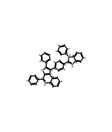 c1ccc(-c2sc3c(-c4ccccc4)nc4ccccc4c3c2-c2ccc(-c3nc4ccccc4n3-c3ccccc3)cc2)cc1